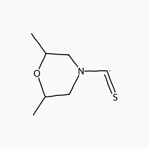 CC1CN([C]=S)CC(C)O1